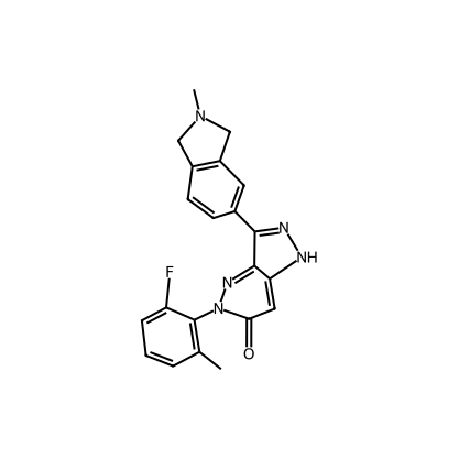 Cc1cccc(F)c1-n1nc2c(-c3ccc4c(c3)CN(C)C4)n[nH]c2cc1=O